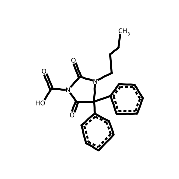 CCCCN1C(=O)N(C(=O)O)C(=O)C1(c1ccccc1)c1ccccc1